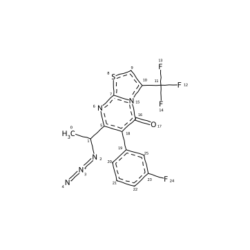 CC(N=[N+]=[N-])c1nc2scc(C(F)(F)F)n2c(=O)c1-c1cccc(F)c1